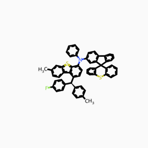 Cc1ccc([C@@H](c2ccc(F)cc2)c2ccc(N(c3ccccc3)c3ccc4c(c3)C3(c5ccccc5Sc5ccccc53)c3ccccc3-4)c3sc4cc(C)ccc4c23)cc1